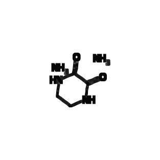 N.N.O=C1NCCNC1=O